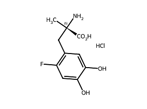 C[C@](N)(Cc1cc(O)c(O)cc1F)C(=O)O.Cl